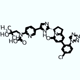 CC(C)(O)CN(C(=O)O)c1ccc(-c2cnc([C@@H]3CCc4cc(-c5cc(Cl)ccc5-n5cnnn5)cc(=O)n43)[nH]2)cn1